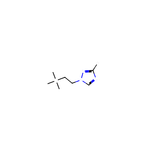 C[Si](C)(C)CCn1cnc([N+](=O)[O-])n1